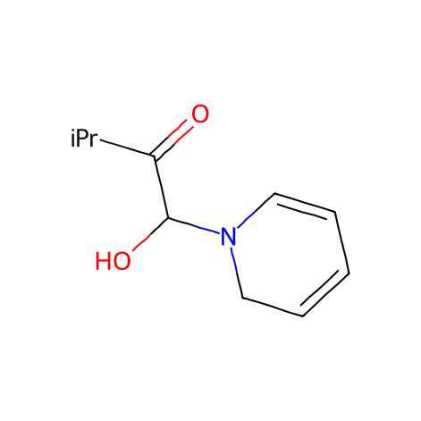 CC(C)C(=O)C(O)N1C=CC=CC1